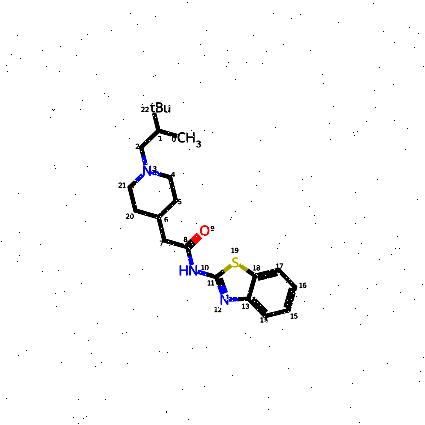 CC(CN1CCC(CC(=O)Nc2nc3ccccc3s2)CC1)C(C)(C)C